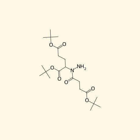 CC(C)(C)OC(=O)CCC(=O)N(N)C(CCC(=O)OC(C)(C)C)C(=O)OC(C)(C)C